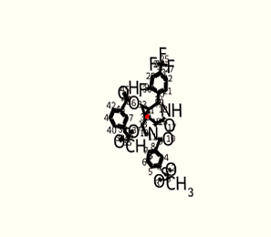 CS(=O)(=O)c1cccc(C(=O)N2CCCC2C(=O)N[C@@H](c2ccc(C(F)(F)F)cc2F)C2CC2)c1.CS(=O)(=O)c1cccc(C(=O)O)c1